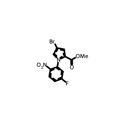 COC(=O)c1cc(Br)cn1-c1cc(F)ccc1[N+](=O)[O-]